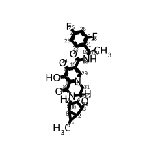 CC1C2C3C[C@H](C12)N1C(=O)c2c(O)c(=O)c(C(=O)N[C@H](C)c4ccc(F)cc4F)cn2C[C@@H]1O3